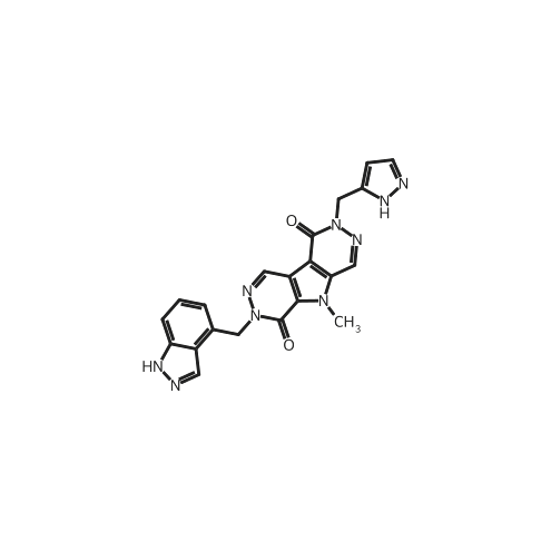 Cn1c2cnn(Cc3ccn[nH]3)c(=O)c2c2cnn(Cc3cccc4[nH]ncc34)c(=O)c21